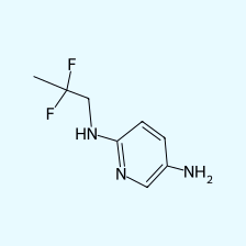 CC(F)(F)CNc1ccc(N)cn1